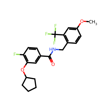 COc1ccc(CNC(=O)c2ccc(F)c(OC3CCCC3)c2)c(C(F)(F)F)c1